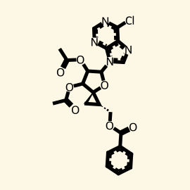 CC(=O)OC1C(n2cnc3c(Cl)ncnc32)O[C@@]2(C[C@H]2COC(=O)c2ccccc2)C1OC(C)=O